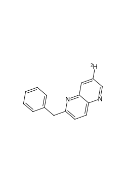 [2H]c1cnc2ccc(Cc3ccccc3)nc2c1